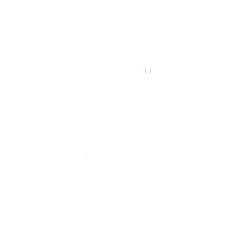 CCCC(CCCCCc1ccc(O)cc1)C(C)(C)c1ccccc1